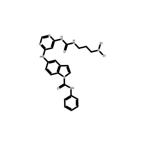 CCN(CC)CCCNC(=O)Nc1cc(Nc2ccc3c(ccn3C(=O)Nc3ccccc3)c2)ncn1